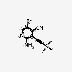 C[Si](C)(C)C#Cc1c(N)ncc(Br)c1C#N